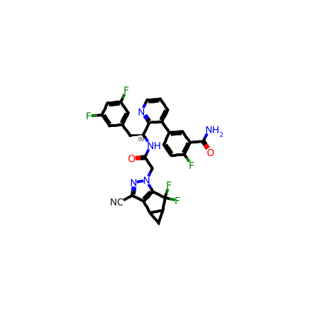 N#Cc1nn(CC(=O)N[C@@H](Cc2cc(F)cc(F)c2)c2ncccc2-c2ccc(F)c(C(N)=O)c2)c2c1C1CC1C2(F)F